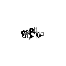 Cc1cccc(Cn2nc(C3CC3)c3c(CNc4cncc(Cl)n4)cccc32)n1